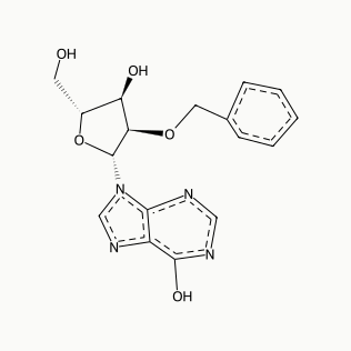 OC[C@H]1O[C@@H](n2cnc3c(O)ncnc32)[C@H](OCc2ccccc2)[C@@H]1O